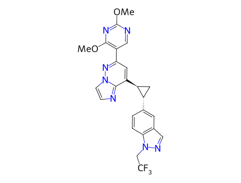 COc1ncc(-c2cc([C@H]3C[C@@H]3c3ccc4c(cnn4CC(F)(F)F)c3)c3nccn3n2)c(OC)n1